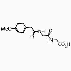 COc1ccc(CC(=O)NCC(=O)NCC(=O)O)cc1